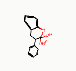 OC1(O)Oc2ccccc2CC1c1ccccc1